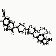 COC(=O)C(Cc1cc(C)c2[nH]ncc2c1)NC(=O)N1CCC(N2Cc3cc(C#N)ccc3NC2=O)CC1